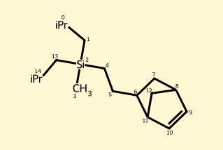 CC(C)C[Si](C)(CCC1CC2C=CC1C2)CC(C)C